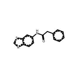 O=C(Cc1ccccc1)Nc1ccc2ncsc2c1